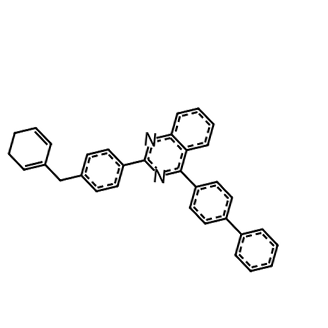 C1=CC(Cc2ccc(-c3nc(-c4ccc(-c5ccccc5)cc4)c4ccccc4n3)cc2)=CCC1